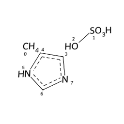 C.O=S(=O)(O)O.c1c[nH]cn1